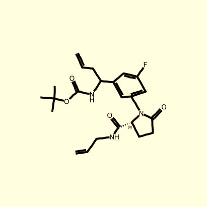 C=CCNC(=O)[C@H]1CCC(=O)N1c1cc(F)cc(C(CC=C)NC(=O)OC(C)(C)C)c1